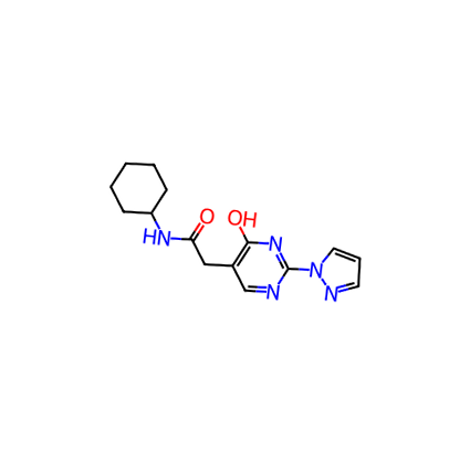 O=C(Cc1cnc(-n2cccn2)nc1O)NC1CCCCC1